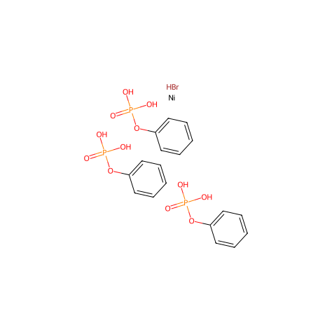 Br.O=P(O)(O)Oc1ccccc1.O=P(O)(O)Oc1ccccc1.O=P(O)(O)Oc1ccccc1.[Ni]